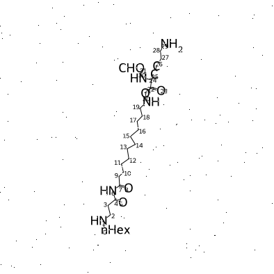 CCCCCCNCCC(=O)NC(=O)CCCCCCCCCCCNOC(=O)C(CCCCN)NC=O